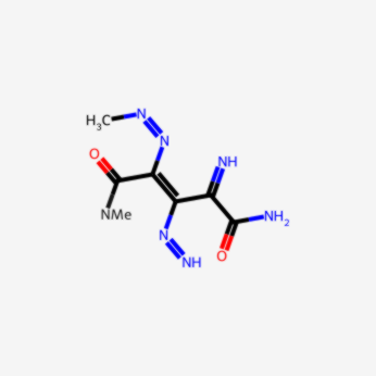 C/N=N\C(C(=O)NC)=C(\N=N)C(=N)C(N)=O